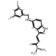 CN(C)C(=O)/C=C/c1n[nH]c2ccc(NCc3cc(F)cc(F)c3)cc12